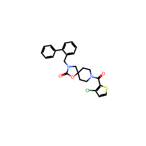 O=C1OC2(CCN(C(=O)c3sccc3Cl)CC2)CN1Cc1ccccc1-c1ccccc1